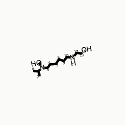 CC(C)N(O)CCCCCCNCCO